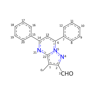 Cc1c(C=O)nn2c(-c3ccccc3)cc(-c3ccccc3)nc12